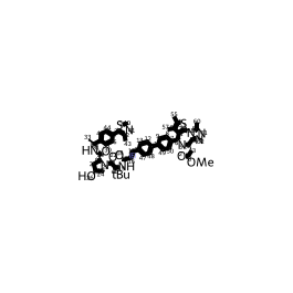 COC(=O)C[C@@H]1N=C(c2ccc(-c3ccc(/C=C/C(=O)N[C@H](C(=O)N4C[C@H](O)C[C@H]4C(=O)N[C@@H](C)c4ccc(-c5scnc5C)cc4)C(C)(C)C)cc3)cc2)c2c(sc(C)c2C)-n2c(C)nnc21